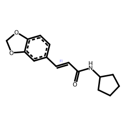 O=C(/C=C/c1ccc2c(c1)OCO2)NC1CCCC1